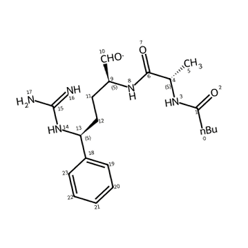 CCCCC(=O)N[C@@H](C)C(=O)N[C@H]([C]=O)CC[C@H](NC(=N)N)c1ccccc1